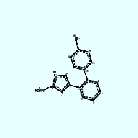 CNc1nc(-c2ccccc2-c2ccc(C(C)C)cc2)cs1